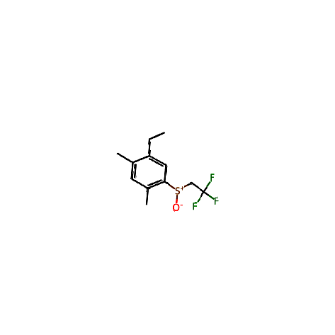 CCc1cc([S+]([O-])CC(F)(F)F)c(C)cc1C